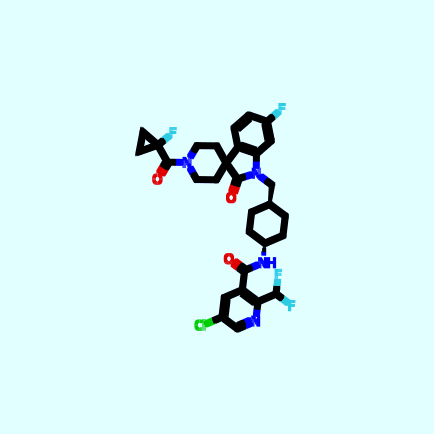 O=C(N[C@H]1CC[C@H](CN2C(=O)C3(CCN(C(=O)C4(F)CC4)CC3)c3ccc(F)cc32)CC1)c1cc(Cl)cnc1C(F)F